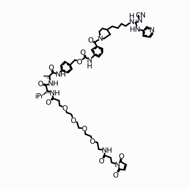 CC(C)[C@H](NC(=O)CCOCCOCCOCCOCCNC(=O)CCN1C(=O)C=CC1=O)C(=O)N[C@@H](C)C(=O)Nc1ccc(COC(=O)Nc2cccc(C(=O)N3CCC(CCCCN/C(=N\C#N)Nc4cccnc4)CC3)c2)cc1